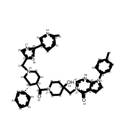 Cc1ccc(-n2ccc3c(=O)n(CC4(O)CCN(C(=O)[C@@H]5CCN(Cc6cnc(-c7ccc(C)nc7)s6)C[C@H]5c5ccccc5)CC4)cnc32)cc1